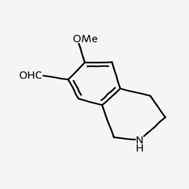 COc1cc2c(cc1C=O)CNCC2